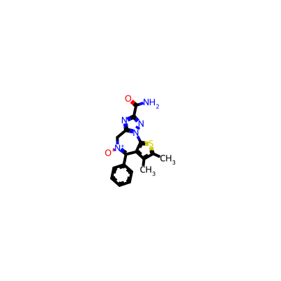 Cc1sc2c(c1C)C(c1ccccc1)=[N+]([O-])Cc1nc(C(N)=O)nn1-2